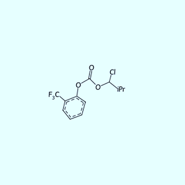 CC(C)C(Cl)OC(=O)Oc1ccccc1C(F)(F)F